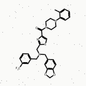 Cc1ccccc1N1CCN(C(=O)c2csc(CN(Cc3cccc(C(F)(F)F)c3)Cc3ccc4c(c3)OCO4)n2)CC1